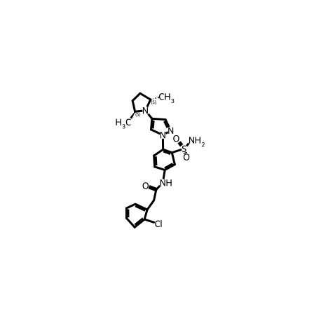 C[C@H]1CC[C@H](C)N1c1cnn(-c2ccc(NC(=O)Cc3ccccc3Cl)cc2S(N)(=O)=O)c1